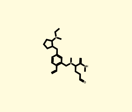 C=Cc1ccc(CC2CCCC2N(C)CC)cc1CN(C)C(CCC=O)C(=C)NC